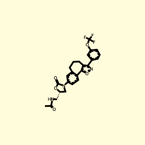 CC(=O)NC[C@H]1CN(c2ccc3c(c2)CCCc2c(-c4cccc(OC(F)(F)F)c4)noc2-3)C(=O)O1